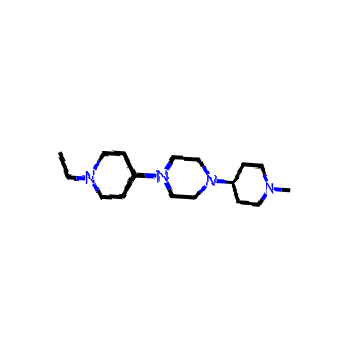 CCN1CCC(N2CCN(C3CCN(C)CC3)CC2)CC1